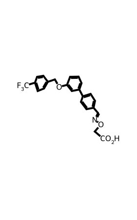 O=C(O)CON=Cc1ccc(-c2cccc(OCc3ccc(C(F)(F)F)cc3)c2)cc1